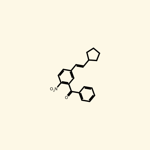 O=C(c1ccccc1)c1cc(C=CC2CCCC2)ccc1[N+](=O)[O-]